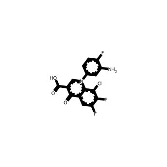 Nc1cc(-n2cc(C(=O)O)c(=O)c3cc(F)c(F)c(Cl)c32)ccc1F